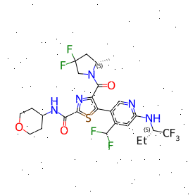 CC[C@H](Nc1cc(C(F)F)c(-c2sc(C(=O)NC3CCOCC3)nc2C(=O)N2CC(F)(F)C[C@@H]2C)cn1)C(F)(F)F